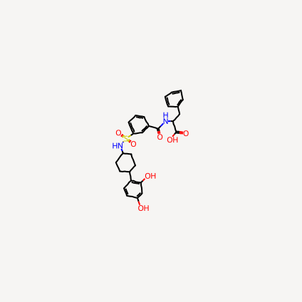 O=C(NC(Cc1ccccc1)C(=O)O)c1cccc(S(=O)(=O)NC2CCC(c3ccc(O)cc3O)CC2)c1